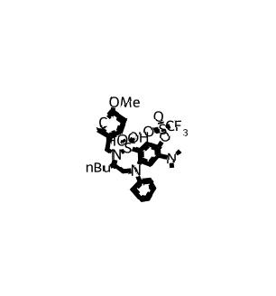 CCCCC1CN(c2ccccc2)c2cc(N(C)C)c(OS(=O)(=O)C(F)(F)F)cc2S(O)(O)N1Cc1ccc(OC)cc1